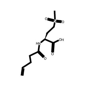 C=CCCC(=O)N[C@@H](CCS(C)(=O)=O)C(=O)O